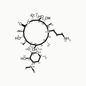 CC[C@H]1OC(=O)[C@H](C)[C@@H](O)[C@H](C)[C@@H](O[C@@H]2O[C@H](C)C[C@H](N(C)C)[C@H]2O)[C@](C)(O)C[C@@H](C)CN(CCCN)[C@H](C)[C@@H](O)[C@]1(C)O